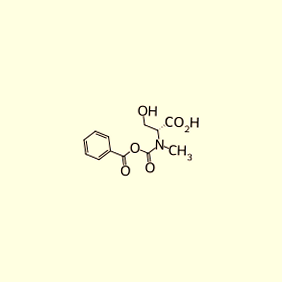 CN(C(=O)OC(=O)c1ccccc1)[C@H](CO)C(=O)O